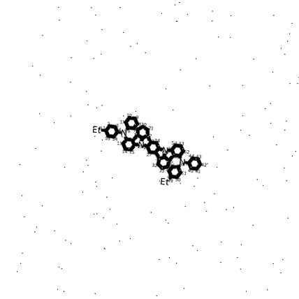 CCc1ccc(N(c2ccccc2)c2cccc3c2c2cccc4c5cc6c(cc5n3c42)c2cccc3c4c(N(c5ccccc5)c5ccc(CC)cc5)cccc4n6c23)cc1